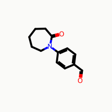 O=Cc1ccc(N2CCCCCC2=O)cc1